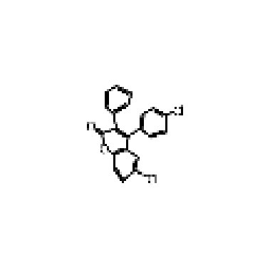 O=c1oc2ccc(Cl)cc2c(-c2ccc(Cl)cc2)c1-c1ccccc1